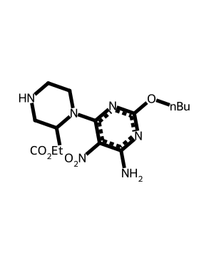 CCCCOc1nc(N)c([N+](=O)[O-])c(N2CCNCC2C(=O)OCC)n1